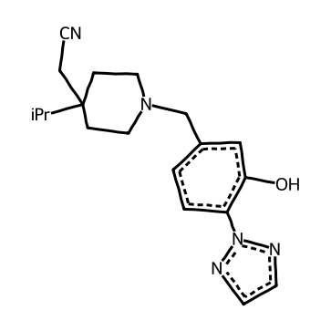 CC(C)C1(CC#N)CCN(Cc2ccc(-n3nccn3)c(O)c2)CC1